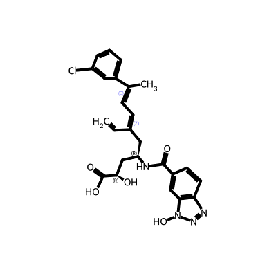 C=C/C(=C\C=C(/C)c1cccc(Cl)c1)C[C@H](C[C@@H](O)C(=O)O)NC(=O)c1ccc2nnn(O)c2c1